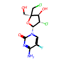 Nc1nc(=O)n([C@@H]2O[C@@](CO)(CCl)[C@@H](O)[C@@H]2Cl)cc1F